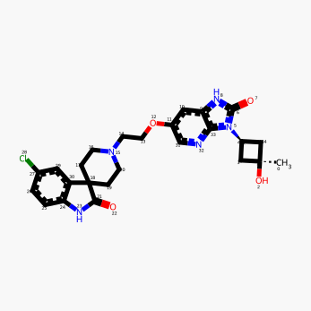 C[C@]1(O)C[C@@H](n2c(=O)[nH]c3cc(OCCN4CCC5(CC4)C(=O)Nc4ccc(Cl)cc45)cnc32)C1